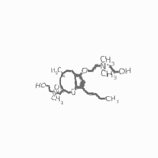 CCCCc1cc(OCC[N+](C)(C)CCO)c2cc1OCC(C[N+](C)(C)CCO)CC[C@@H](C)CC2